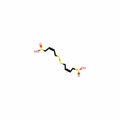 O=S(O)C/C=C\CSSC/C=C\CS(=O)O